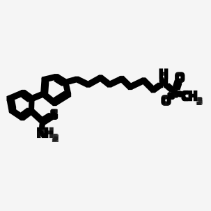 CS(=O)(=O)NCCCCCCCCc1ccc(-c2ccccc2C(N)=S)cc1